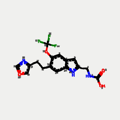 O=C(O)NCc1cc2cc(OC(F)(F)F)c(CCc3cocn3)cc2[nH]1